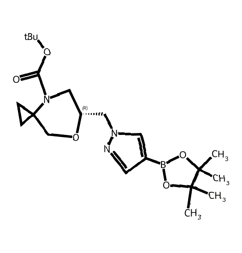 CC(C)(C)OC(=O)N1C[C@H](Cn2cc(B3OC(C)(C)C(C)(C)O3)cn2)OCC12CC2